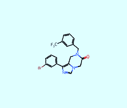 O=C1Cn2cnc(-c3cccc(Br)c3)c2CN1Cc1cccc(C(F)(F)F)c1